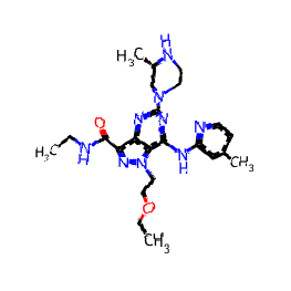 CCNC(=O)c1nn(CCOCC)c2c(Nc3cc(C)ccn3)nc(N3CCN[C@H](C)C3)nc12